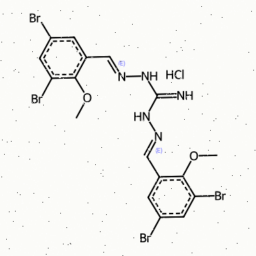 COc1c(Br)cc(Br)cc1/C=N/NC(=N)N/N=C/c1cc(Br)cc(Br)c1OC.Cl